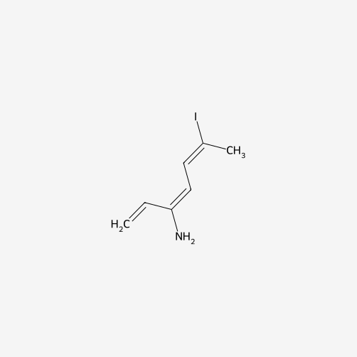 C=C/C(N)=C\C=C(/C)I